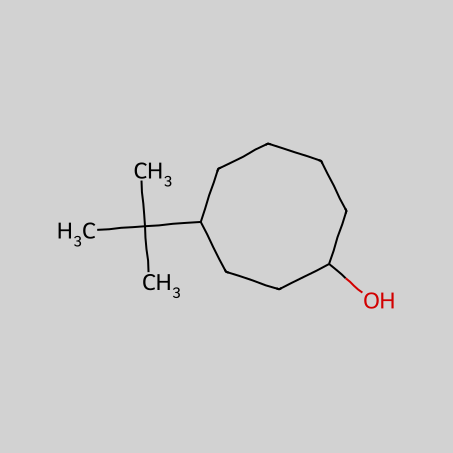 CC(C)(C)C1CCCCC(O)CC1